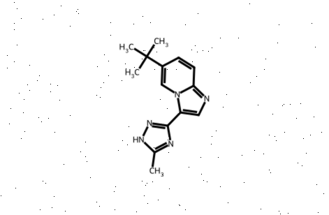 Cc1nc(-c2cnc3ccc(C(C)(C)C)cn23)n[nH]1